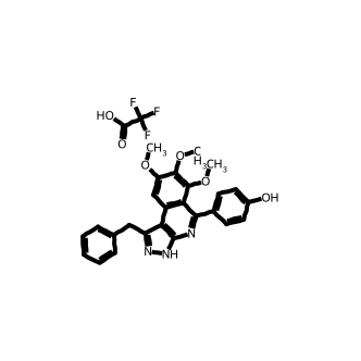 COc1cc2c(c(-c3ccc(O)cc3)nc3[nH]nc(Cc4ccccc4)c32)c(OC)c1OC.O=C(O)C(F)(F)F